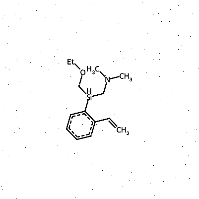 C=Cc1ccccc1[SiH](COCC)CN(C)C